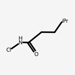 CC(C)CCC(=O)NCl